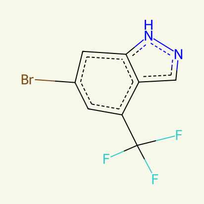 FC(F)(F)c1cc(Br)cc2[nH]ncc12